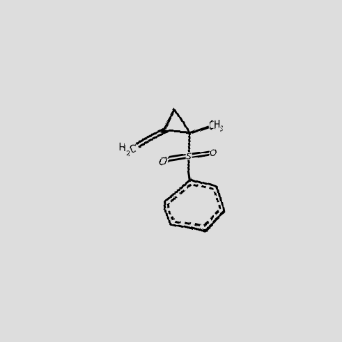 C=C1CC1(C)S(=O)(=O)c1ccccc1